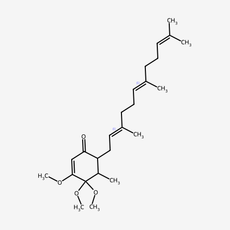 COC1=CC(=O)C(C/C=C(\C)CC/C=C(\C)CCC=C(C)C)C(C)C1(OC)OC